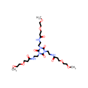 COCCOCCC(=O)NCCn1c(=O)n(CCNC(=O)CCOCCOC)c(=O)n(CCNC(=O)CCOCCOC)c1=O